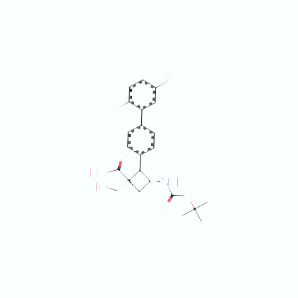 CC(C)(C)OC(=O)N[C@H]1C[C@@](CO)(C(=O)O)C1c1ccc(-c2cc(Cl)ccc2F)cc1